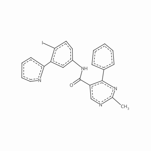 Cc1ncc(C(=O)Nc2ccc(I)c(-c3ccccn3)c2)c(-c2ccccc2)n1